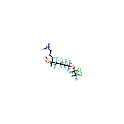 COC(C)(CCCN(C)C)C(F)(F)C(F)(F)C(F)(F)C(F)(F)OC(F)(Cl)C(F)(F)Cl